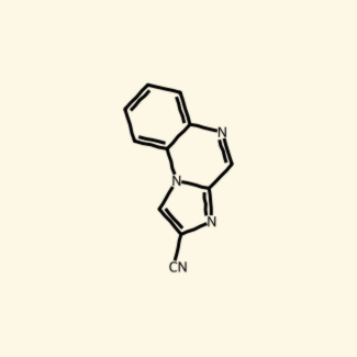 N#Cc1cn2c(cnc3ccccc32)n1